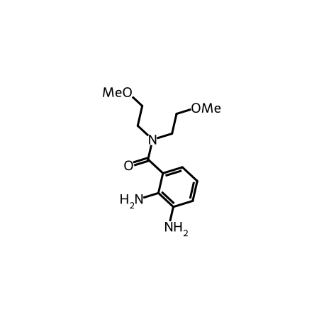 COCCN(CCOC)C(=O)c1cccc(N)c1N